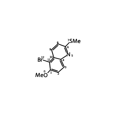 COc1ccc2nc(SC)ccc2c1Br